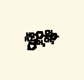 CC(C)(c1cc[c]cc1)c1ccc(O)c(C(C)(C)c2cc[c]cc2)c1